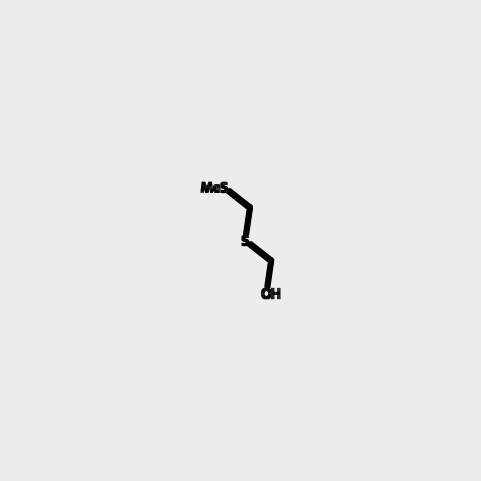 CSCSCO